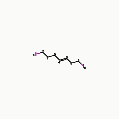 ICCC=CCCCI